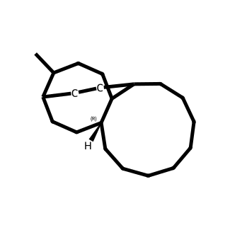 CC1CCC2C3CCCCCCCC[C@@H]2CCC1CC3